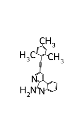 Cc1cc(C)c(C#Cc2cnc3c(N)nc4ccccc4c3c2)c(C)c1